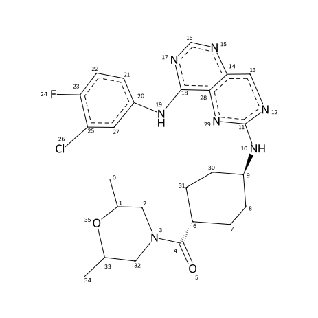 CC1CN(C(=O)[C@H]2CC[C@H](Nc3ncc4ncnc(Nc5ccc(F)c(Cl)c5)c4n3)CC2)CC(C)O1